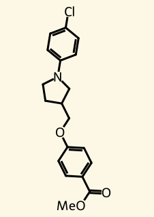 COC(=O)c1ccc(OCC2CCN(c3ccc(Cl)cc3)C2)cc1